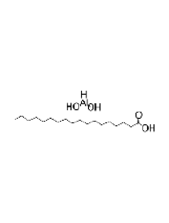 CCCCCCCCCCCCCCCCCC(=O)O.[OH][AlH][OH]